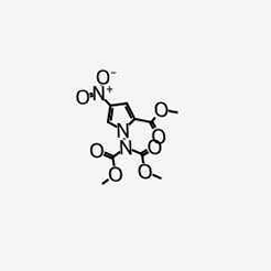 COC(=O)c1cc([N+](=O)[O-])cn1N(C(=O)OC)C(=O)OC